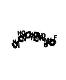 O=C(NCC(=O)N1CC[C@@H]2[C@H]1CCN2C1CCC(O)(c2ccc(-c3ncccn3)cn2)CC1)c1cccc(F)c1